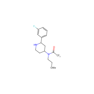 COCCN(C(=O)C(F)(F)F)C1CCNC(c2cccc(F)c2)C1